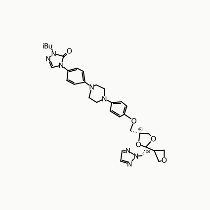 CCC(C)n1ncn(-c2ccc(N3CCN(c4ccc(OC[C@@H]5CO[C@@](Cn6nccn6)(C6COC6)O5)cc4)CC3)cc2)c1=O